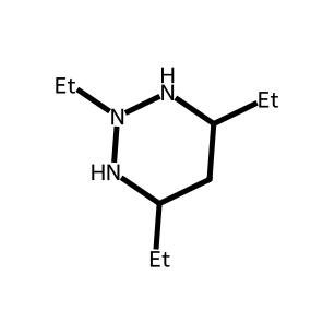 CCC1CC(CC)NN(CC)N1